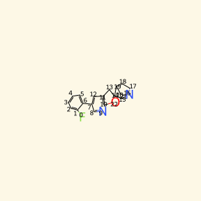 Fc1ccccc1-c1cnc2c(c1)CC1(CN3CCC1CC3)O2